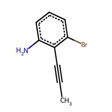 CC#Cc1c(N)cccc1Br